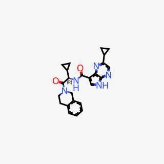 O=C(N[C@@H](C(=O)N1CCc2ccccc2C1)C1CC1)c1c[nH]c2ncc(C3CC3)nc12